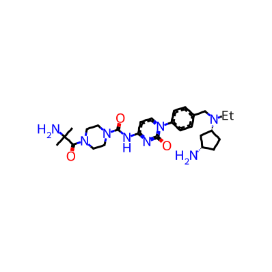 CCN(Cc1ccc(-n2ccc(NC(=O)N3CCN(C(=O)C(C)(C)N)CC3)nc2=O)cc1)[C@@H]1CC[C@H](N)C1